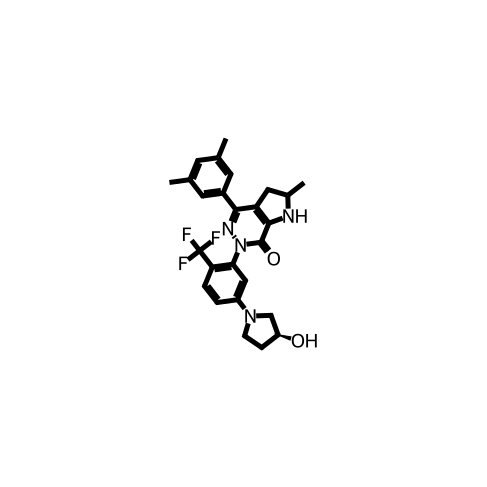 Cc1cc(C)cc(-c2nn(-c3cc(N4CC[C@H](O)C4)ccc3C(F)(F)F)c(=O)c3c2CC(C)N3)c1